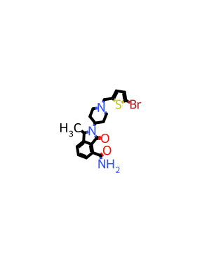 CC1c2cccc(C(N)=O)c2C(=O)N1C1CCN(Cc2ccc(Br)s2)CC1